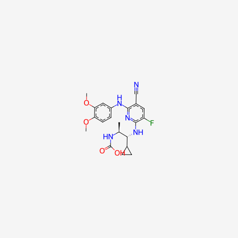 COc1ccc(Nc2nc(N[C@H](C3CC3)[C@H](C)NC(=O)O)c(F)cc2C#N)cc1OC